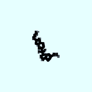 Bc1ccc2nnc(C(F)(F)c3ccc4nc(N=[N+]=[N-])cn4n3)n2c1